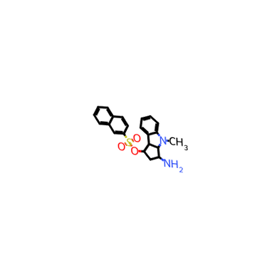 CN1c2ccccc2C2C(OS(=O)(=O)c3ccc4ccccc4c3)CC(N)C21